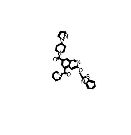 O=C(c1cc(C(=O)N2CCCCC2)c2cc(OCc3nc4ccccc4s3)ncc2c1)N1CCC(n2cccn2)CC1